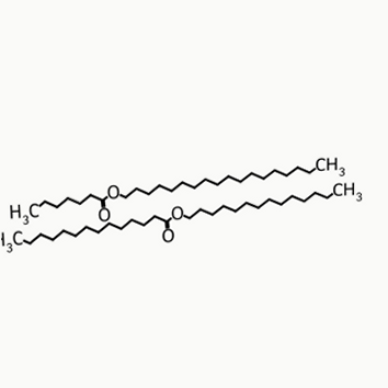 CCCCCCCCCCCCCCCCCCOC(=O)CCCCCC.CCCCCCCCCCCCCCOC(=O)CCCCCCCCCCCCC